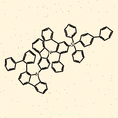 c1ccc(-c2ccc([Si](c3ccccc3)(c3ccccc3)c3cc(-c4ccccc4)c(-n4c5ccccc5c5cc(-n6c7ccccc7c7cccc(-c8ccccc8-c8ccccc8)c76)ccc54)c(-c4ccccc4)c3)cc2)cc1